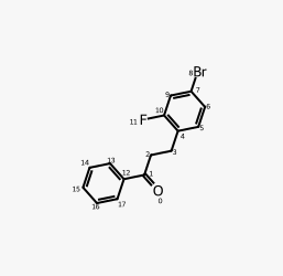 O=C(CCc1ccc(Br)cc1F)c1ccccc1